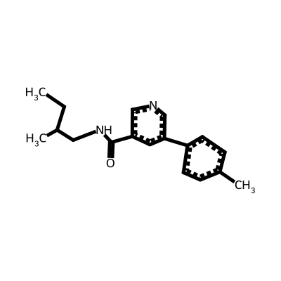 CCC(C)CNC(=O)c1cncc(-c2ccc(C)cc2)c1